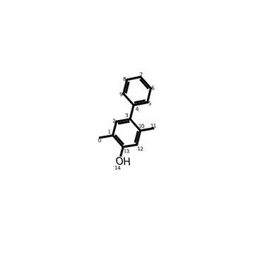 Cc1cc(-c2ccccc2)c(C)cc1O